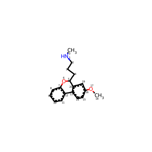 CNCCCC1Oc2ccccc2-c2ccc(OC)cc21